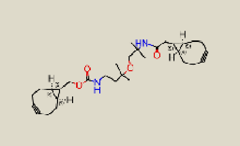 CC(C)(COC(C)(C)CCNC(=O)OC[C@@H]1[C@@H]2CCC#CCC[C@@H]21)NC(=O)C[C@@H]1[C@@H]2CCC#CCC[C@@H]21